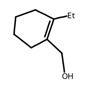 CCC1=C(CO)CCCC1